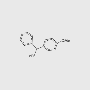 [CH2]CCC(c1ccccc1)c1ccc(OC)cc1